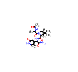 Cc1c[nH]c(=O)cc1C(NC(=O)[C@@H]1[C@@H]2[C@H](CN1C(=O)C(NC(=O)C(F)(F)F)C(C)(C)C)C2(C)C)C(N)=O